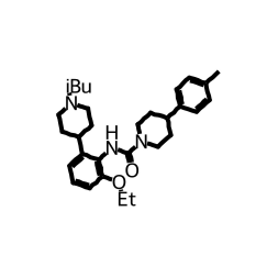 CCOc1cccc(C2CCN(C(C)CC)CC2)c1NC(=O)N1CCC(c2ccc(C)cc2)CC1